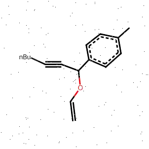 C=COC(C#CCCCC)c1ccc(C)cc1